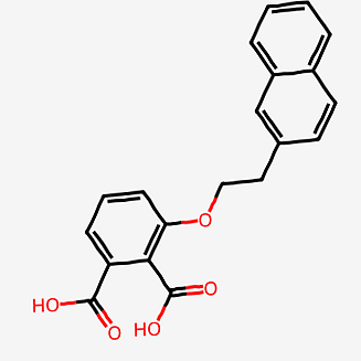 O=C(O)c1cccc(OCCc2ccc3ccccc3c2)c1C(=O)O